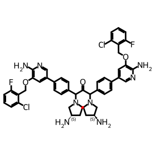 Nc1ncc(-c2ccc(C(C(=O)C(c3ccc(-c4cnc(N)c(OCc5c(F)cccc5Cl)c4)cc3)N3CC[C@H](N)C3)N3CC[C@H](N)C3)cc2)cc1OCc1c(F)cccc1Cl